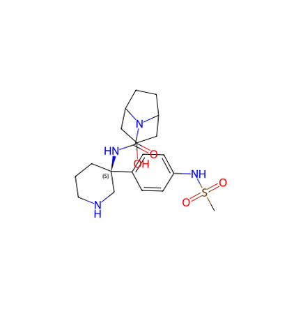 CS(=O)(=O)Nc1ccc([C@@]2(NC(=O)N3C4CCC3CC(O)C4)CCCNC2)cc1